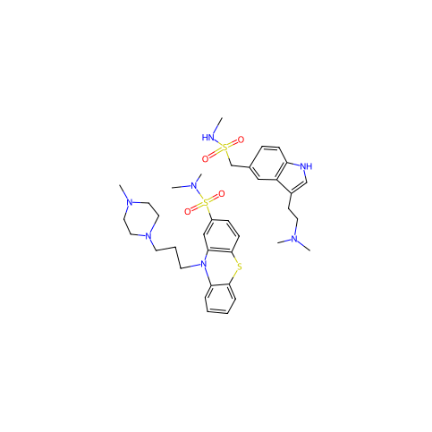 CN1CCN(CCCN2c3ccccc3Sc3ccc(S(=O)(=O)N(C)C)cc32)CC1.CNS(=O)(=O)Cc1ccc2[nH]cc(CCN(C)C)c2c1